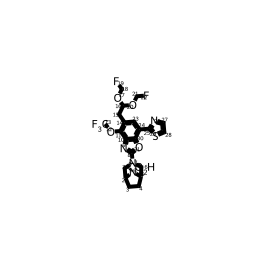 O=C(O)N1C2CCC1CN(c1nc3c(OC(F)(F)F)c(CC(OCF)OCF)cc(-c4nccs4)c3o1)C2